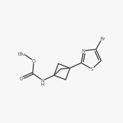 CC(C)(C)OC(=O)NC12CC(c3nc(Br)cs3)(C1)C2